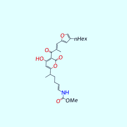 CCCCCCc1coc(/C=C(\C)C(=O)c2c(O)cc(C(C)CC/C=C/NC(=O)OC)oc2=O)c1